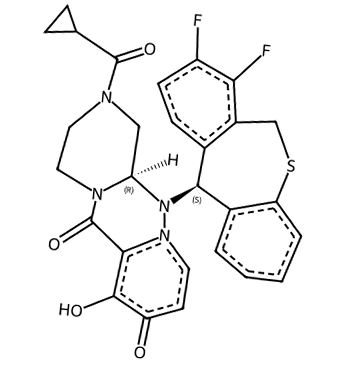 O=C(C1CC1)N1CCN2C(=O)c3c(O)c(=O)ccn3N([C@@H]3c4ccccc4SCc4c3ccc(F)c4F)[C@@H]2C1